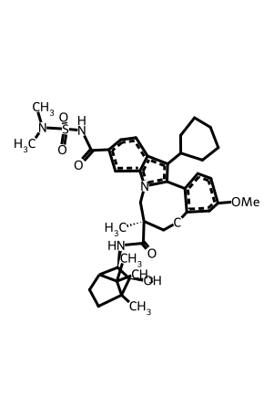 COc1ccc2c(c1)CC[C@@](C)(C(=O)N[C@@H]1C3CCC(C)([C@@H]1O)C3(C)C)Cn1c-2c(C2CCCCC2)c2ccc(C(=O)NS(=O)(=O)N(C)C)cc21